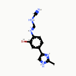 Cc1nc(-c2ccc(/N=C/NC#N)c(Br)c2)c[nH]1